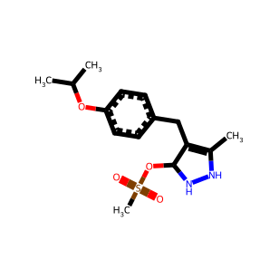 CC1=C(Cc2ccc(OC(C)C)cc2)C(OS(C)(=O)=O)NN1